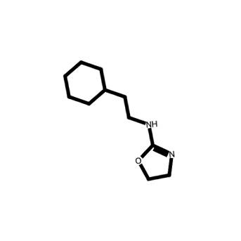 C1CCC(CCNC2=NCCO2)CC1